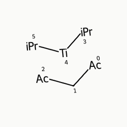 CC(=O)CC(C)=O.C[CH](C)[Ti][CH](C)C